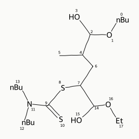 CCCCOC(O)C(C)CC(SC(=S)N(CCCC)CCCC)C(O)OCC